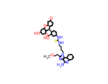 COCCc1nc2c(N)nc3ccccc3c2n1CCCCNC(=S)Nc1ccc(-c2c3ccc(=O)cc-3oc3cc(O)ccc23)c(C(=O)O)c1